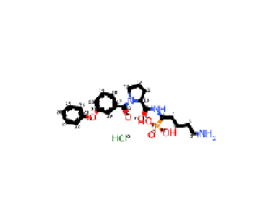 Cl.NCCCCC(NC(=O)C1CCCN1C(=O)c1cccc(Oc2ccccc2)c1)P(=O)(O)O